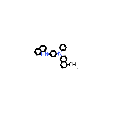 CC1CC=Cc2cc(N(c3ccccc3)c3ccc(Nc4cccc5ccccc45)cc3)ccc21